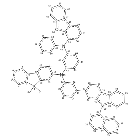 CC1(C)c2ccccc2-c2ccc(N(c3cccc(-c4ccc5c6ccccc6n(-c6cccc7ccccc67)c5c4)c3)c3cccc(N(c4ccccc4)c4cccc5c4oc4ccccc45)c3)cc21